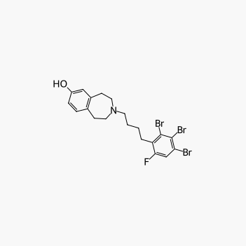 Oc1ccc2c(c1)CCN(CCCCc1c(F)cc(Br)c(Br)c1Br)CC2